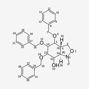 CN1OC[C@H]2C(OCc3ccccc3)C(OCc3ccccc3)C(OCc3ccccc3)C(O)[C@@H]21